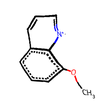 COc1cccc2c1[N+]=CC=C2